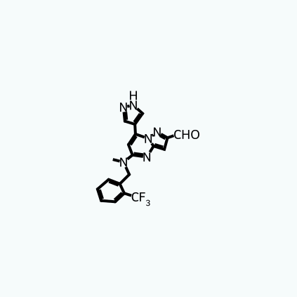 CN(Cc1ccccc1C(F)(F)F)c1cc(-c2cn[nH]c2)n2nc(C=O)cc2n1